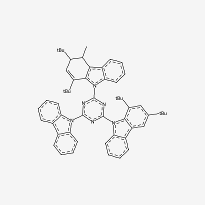 CC1c2c(n(-c3nc(-n4c5ccccc5c5ccccc54)nc(-n4c5ccccc5c5cc(C(C)(C)C)cc(C(C)(C)C)c54)n3)c3ccccc23)C(C(C)(C)C)=CC1C(C)(C)C